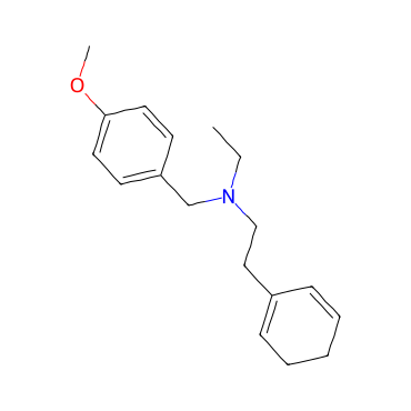 CCN(CCC1=CCCC=C1)Cc1ccc(OC)cc1